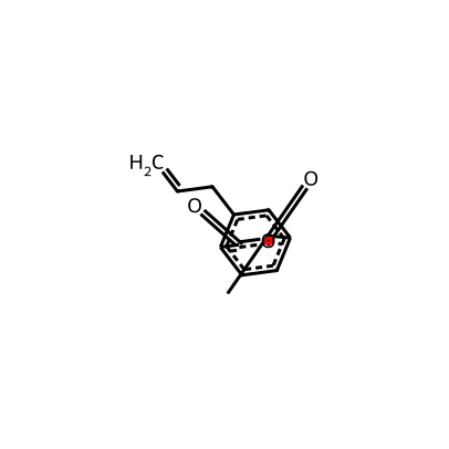 C=CCc1cc2ccc1c(=O)oc2=O